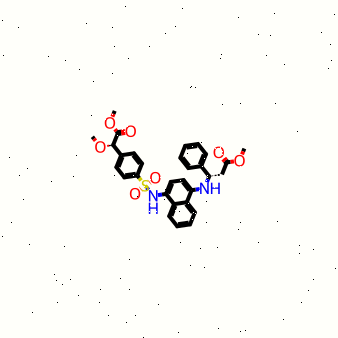 COC(=O)C[C@H](Nc1ccc(NS(=O)(=O)c2ccc([C@H](OC)C(=O)OC)cc2)c2ccccc12)c1ccccc1